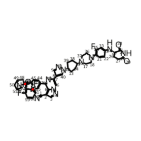 N#Cc1cnn2cc(-c3cnn([C@H]4CC[C@@H](N5CCN(c6ccc(N[C@@H]7CCC(=O)NC7=O)cc6F)CC5)CC4)c3)nc(-c3ccc(N4CC5CC(C4)N5C(=O)c4c(F)cccc4F)nc3)c12